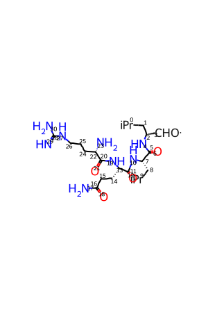 CC(C)C[C@@H]([C]=O)NC(=O)[C@H](CC(C)C)NC(=O)[C@H](CCC(N)=O)NC(=O)[C@@H](N)CCCNC(=N)N